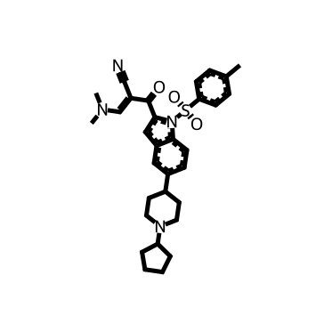 Cc1ccc(S(=O)(=O)n2c(C(=O)C(C#N)=CN(C)C)cc3cc(C4CCN(C5CCCC5)CC4)ccc32)cc1